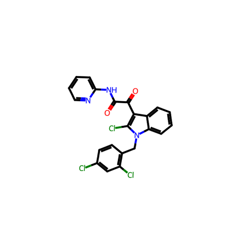 O=C(Nc1ccccn1)C(=O)c1c(Cl)n(Cc2ccc(Cl)cc2Cl)c2ccccc12